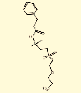 CC(C)(CCS(=O)(=O)CCOCCS(=O)(=O)O)NC(=O)OCc1ccccc1